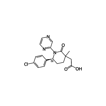 CC1(CC(=O)O)CC[C@@H](c2ccc(Cl)cc2)N(c2cnccn2)C1=O